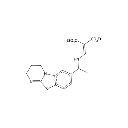 CCOC(=O)C(=CNC(C)c1ccc2c(c1)N1CCCN=C1S2)C(=O)OCC